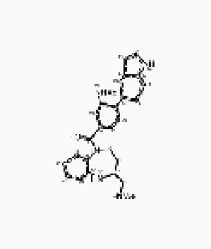 CNCC1CCN(C(=O)c2ccc(-c3ccc4[nH]ccc4c3)c(NC(C)=O)c2)c2ccccc2N1